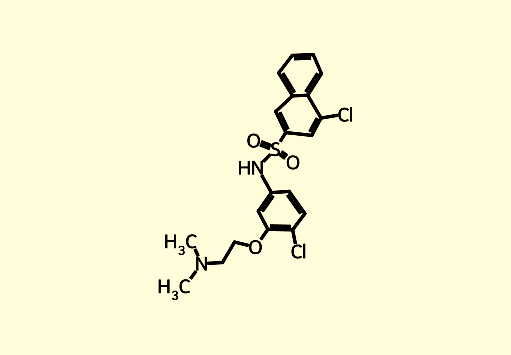 CN(C)CCOc1cc(NS(=O)(=O)c2cc(Cl)c3ccccc3c2)ccc1Cl